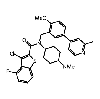 CN[C@H]1CC[C@@H](N(Cc2cc(-c3ccnc(C)c3)ccc2OC)C(=O)c2sc3cccc(F)c3c2Cl)CC1